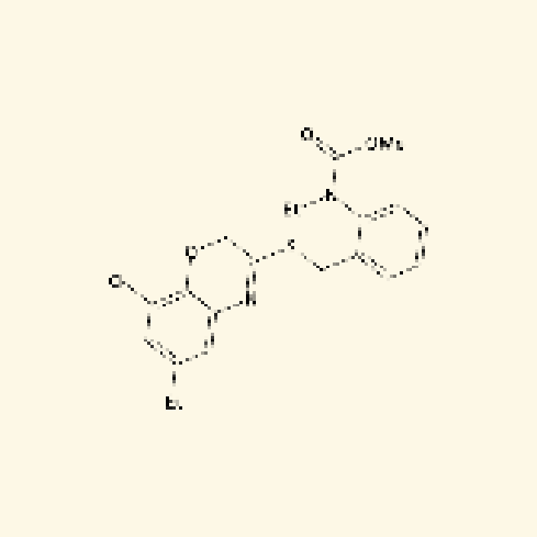 CCc1cc(Cl)c2c(c1)N=C(SCc1ccccc1N(CC)C(=O)OC)CO2